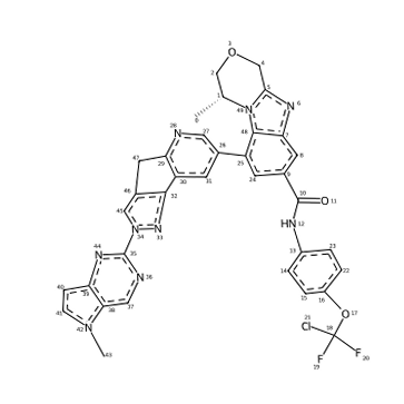 C[C@@H]1COCc2nc3cc(C(=O)Nc4ccc(OC(F)(F)Cl)cc4)cc(-c4cnc5c(c4)-c4nn(-c6ncc7c(ccn7C)n6)cc4C5)c3n21